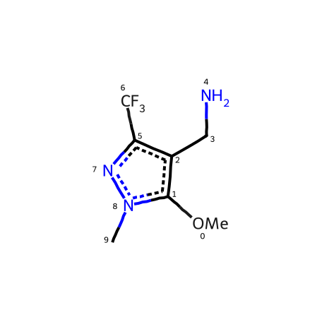 COc1c(CN)c(C(F)(F)F)nn1C